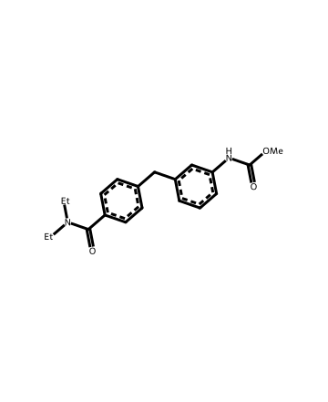 CCN(CC)C(=O)c1ccc(Cc2cccc(NC(=O)OC)c2)cc1